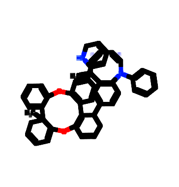 C=C1/C=C\C=C/N(c2ccccc2)c2ccc(C3CC=CC4=C3c3ccc(C5=CC=CCN5)cc3Oc3ccccc3C3(C)CC=CC=C3O4)cc21